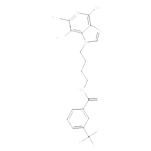 Cc1nc(N)c2ncn(CCCCNC(=O)c3cccc(C(F)(F)F)c3)c2c1C